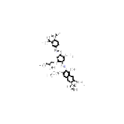 Cc1cc(/N=N/c2c(SOOO)cc3cc(S(=O)(=O)O)c(N)cc3c2O)c(OCC(O)CO)cc1/N=N/c1ccc([N+](=O)[O-])c(C(=O)O)c1